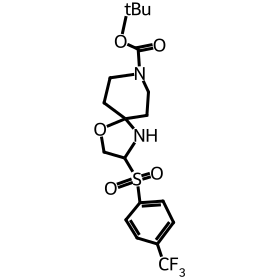 CC(C)(C)OC(=O)N1CCC2(CC1)NC(S(=O)(=O)c1ccc(C(F)(F)F)cc1)CO2